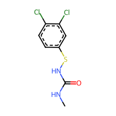 CNC(=O)NSc1ccc(Cl)c(Cl)c1